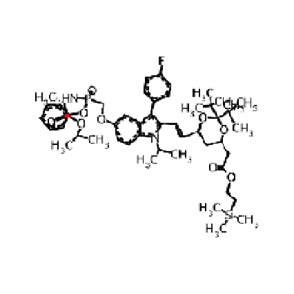 CC(C)OC(=O)[C@H](C)NP(=O)(COc1ccc2c(c1)c(-c1ccc(F)cc1)c(/C=C/[C@@H]1C[C@H](CC(=O)OCC[Si](C)(C)C)OC(C(C)(C)C)(C(C)(C)C)O1)n2C(C)C)Oc1ccccc1